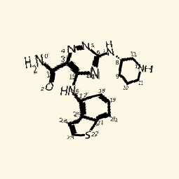 NC(=O)c1nnc(N[C@H]2CCCNC2)nc1Nc1cccc2sccc12